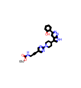 CC(C)(C)OC(=O)NCC#Cc1cnc(N2CCC(c3c[nH]c4nnc(-c5ccccc5O)cc34)CC2)nc1